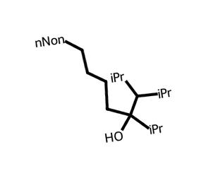 CCCCCCCCCCCCCC(O)(C(C)C)C(C(C)C)C(C)C